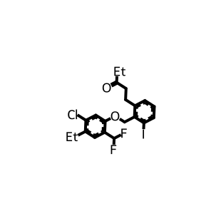 CCC(=O)CCc1cccc(I)c1COc1cc(Cl)c(CC)cc1C(F)F